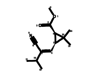 COC(=O)[C@@H]1[C@@H](/C=C(\C#N)C(C)C)C1(C)C